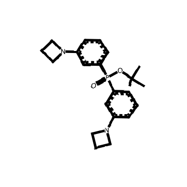 CC(C)(C)OP(=O)(c1cccc(N2CCC2)c1)c1cccc(N2CCC2)c1